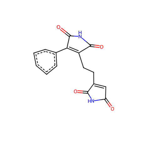 O=C1C=C(CCC2=C(c3ccccc3)C(=O)NC2=O)C(=O)N1